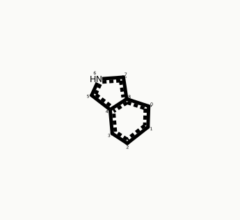 [c]1cccc2c[nH][c]c12